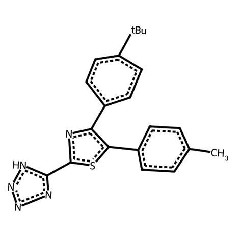 Cc1ccc(-c2sc(-c3nnn[nH]3)nc2-c2ccc(C(C)(C)C)cc2)cc1